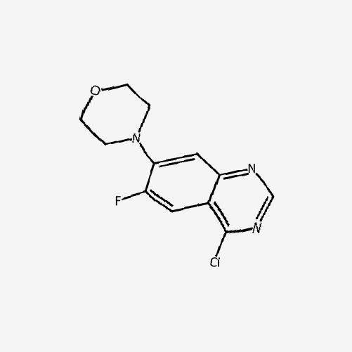 Fc1cc2c(Cl)ncnc2cc1N1CCOCC1